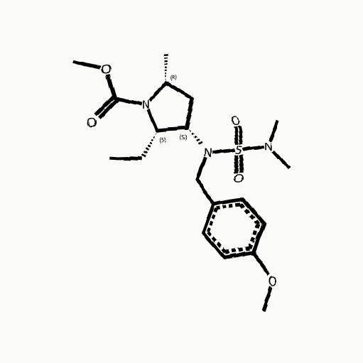 CC[C@H]1[C@@H](N(Cc2ccc(OC)cc2)S(=O)(=O)N(C)C)C[C@@H](C)N1C(=O)OC